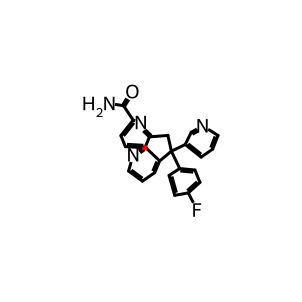 NC(=O)c1cccc(CC(c2ccc(F)cc2)(c2cccnc2)c2cccnc2)n1